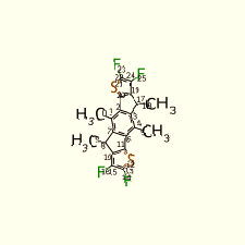 Cc1c2c(c(C)c3c1C(C)c1c-3sc(F)c1F)C(C)c1c-2sc(F)c1F